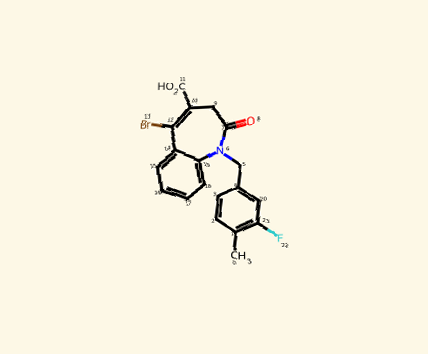 Cc1ccc(CN2C(=O)CC(C(=O)O)=C(Br)c3ccccc32)cc1F